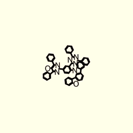 c1ccc(-c2nc(-c3ccccc3)nc(-c3cc(-c4nc(-c5ccccc5)c5oc6ccccc6c5n4)ccc3-n3c4ccccc4c4ccc5oc6ccccc6c5c43)n2)cc1